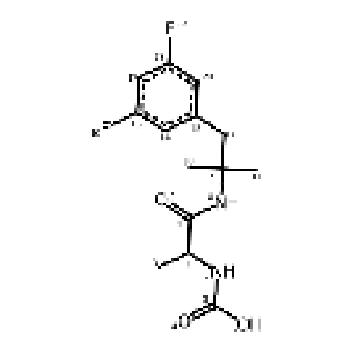 CC(NC(=O)O)C(=O)NC(C)(C)Cc1cc(F)cc(F)c1